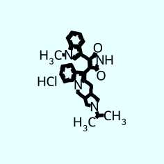 CC(C)N1CC2Cc3c(C4=C(c5cn(C)c6ccccc56)C(=O)NC4=O)c4ccccc4n3CC2C1.Cl